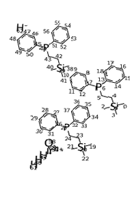 C[Si](C)(C)CCP(c1ccccc1)c1ccccc1.C[Si](C)(C)CCP(c1ccccc1)c1ccccc1.C[Si](C)(C)CCP(c1ccccc1)c1ccccc1.[C]=O.[H-].[H-].[H-].[H-].[Ir+4]